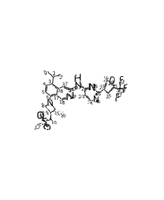 CC(C)c1ccc(N2C[C@H](CS(C)(=O)=O)[C@H]2C)c2cnc(Nc3ccnc(-c4coc(C(F)(F)F)c4)n3)cc12